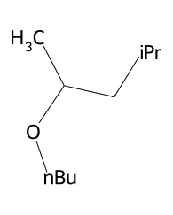 [CH2]CCCOC(C)CC(C)C